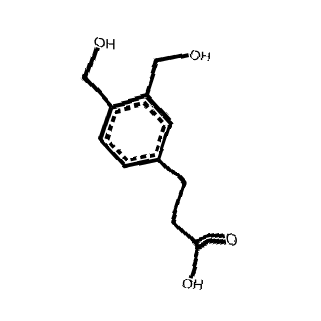 O=C(O)CCc1ccc(CO)c(CO)c1